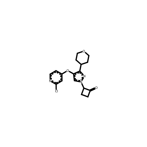 O=C1CCC1n1cc(Oc2ccnc(Cl)c2)c(C2CCOCC2)n1